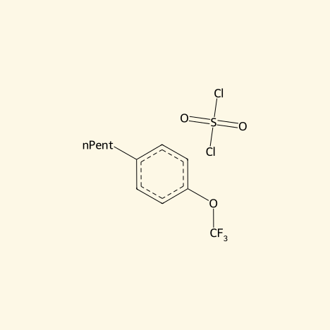 CCCCCc1ccc(OC(F)(F)F)cc1.O=S(=O)(Cl)Cl